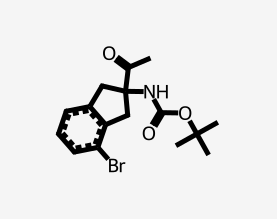 CC(=O)C1(NC(=O)OC(C)(C)C)Cc2cccc(Br)c2C1